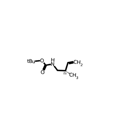 C=C[C@H](C)CNC(=O)OC(C)(C)C